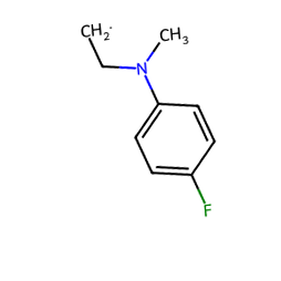 [CH2]CN(C)c1ccc(F)cc1